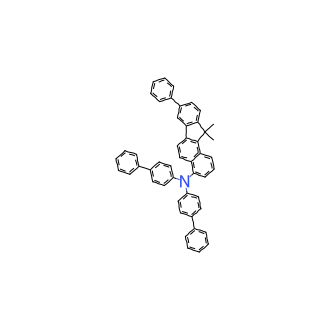 CC1(C)c2ccc(-c3ccccc3)cc2-c2ccc3c(N(c4ccc(-c5ccccc5)cc4)c4ccc(-c5ccccc5)cc4)cccc3c21